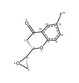 O=C1C[C@@H]([C@@H]2CO2)Oc2ccc(F)cc21